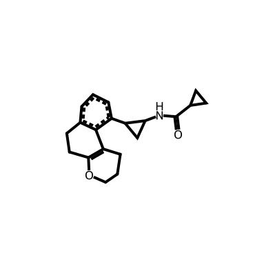 O=C(NC1CC1c1cccc2c1C1=C(CC2)OCCC1)C1CC1